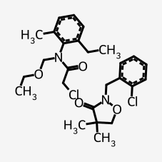 CC1(C)CON(Cc2ccccc2Cl)C1=O.CCOCN(C(=O)CCl)c1c(C)cccc1CC